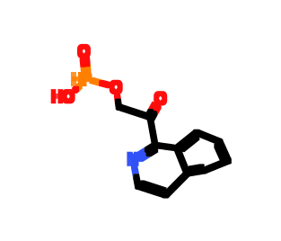 O=C(CO[PH](=O)O)c1nccc2ccccc12